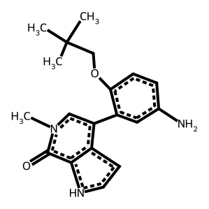 Cn1cc(-c2cc(N)ccc2OCC(C)(C)C)c2cc[nH]c2c1=O